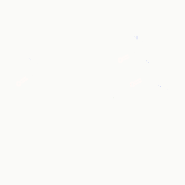 NC(=O)NC(N)=O.NC(=O)c1cc2c3cccc4cccc(c5c(Cl)c(Cl)c(Cl)c(c1Cl)c25)c43